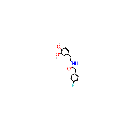 COc1ccc(CCNC(=O)Cc2ccc(F)cc2)cc1OC